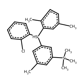 Cc1cc([SiH](c2cc(C)ccc2C)c2ccccc2Cl)cc([Si](C)(C)C)c1